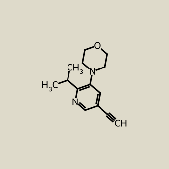 C#Cc1cnc(C(C)C)c(N2CCOCC2)c1